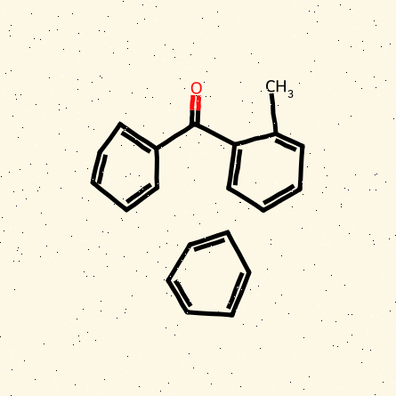 Cc1ccccc1C(=O)c1ccccc1.c1ccccc1